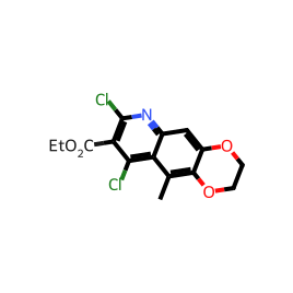 CCOC(=O)c1c(Cl)nc2cc3c(c(C)c2c1Cl)OCCO3